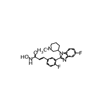 CN1CCCC(n2c(-c3cc(C=CC(=O)NO)ccc3F)nc3cc(F)ccc32)C1